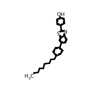 CCCCCCCCCc1ccc(-c2ccc3nc(-c4ccc(O)cc4)sc3c2)cc1